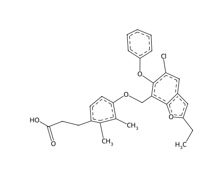 CCc1cc2cc(Cl)c(Oc3ccccc3)c(COc3ccc(CCC(=O)O)c(C)c3C)c2o1